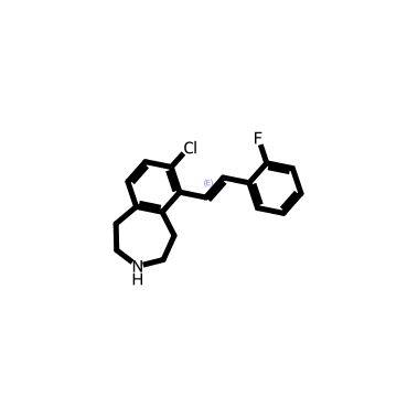 Fc1ccccc1/C=C/c1c(Cl)ccc2c1CCNCC2